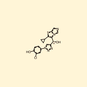 Oc1ccc(-n2cc([C@H](O)c3c(C4CC4)sc4cncn34)nn2)cc1Cl